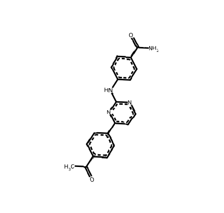 CC(=O)c1ccc(-c2ccnc(Nc3ccc(C(N)=O)cc3)n2)cc1